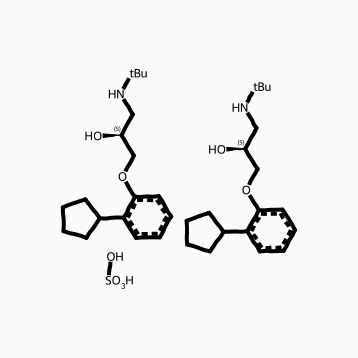 CC(C)(C)NC[C@H](O)COc1ccccc1C1CCCC1.CC(C)(C)NC[C@H](O)COc1ccccc1C1CCCC1.O=S(=O)(O)O